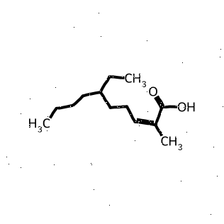 CCCCC(CC)CCC=C(C)C(=O)O